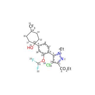 CCOC(=O)c1nn(CC)c(-c2ccc(C3(O)CCC(C(F)(F)F)CC3)cc2OC(F)F)c1Cl